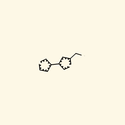 OCc1cc(-c2ccsc2)cs1